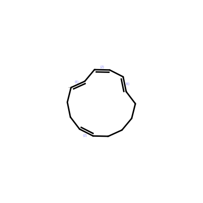 [C]1=C/C=C\C=C\CCCC/C=C\CC/1